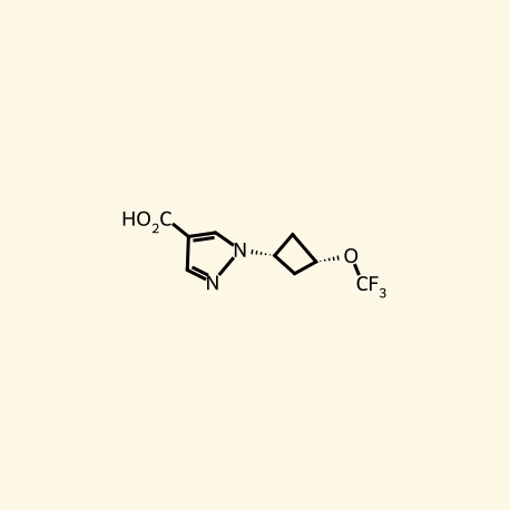 O=C(O)c1cnn([C@H]2C[C@@H](OC(F)(F)F)C2)c1